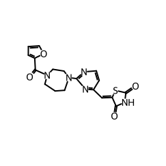 O=C1NC(=O)/C(=C/c2ccnc(N3CCCN(C(=O)c4ccco4)CC3)n2)S1